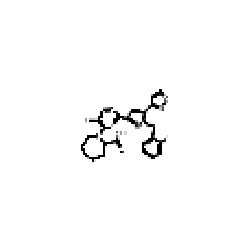 O=C(O)C1CCCCCN1c1nc(-c2cc(-c3ccon3)n(Cc3ccccc3F)n2)ncc1F